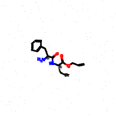 C=CCOC(=O)[C@H](CC(C)C)NC(=O)[C@@H](N)Cc1ccccc1